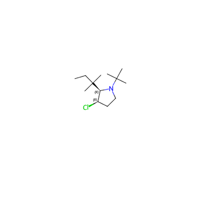 CCC(C)(C)[C@@H]1[C@H](Cl)CCN1C(C)(C)C